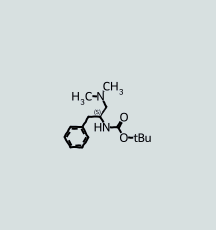 CN(C)C[C@H](Cc1ccccc1)NC(=O)OC(C)(C)C